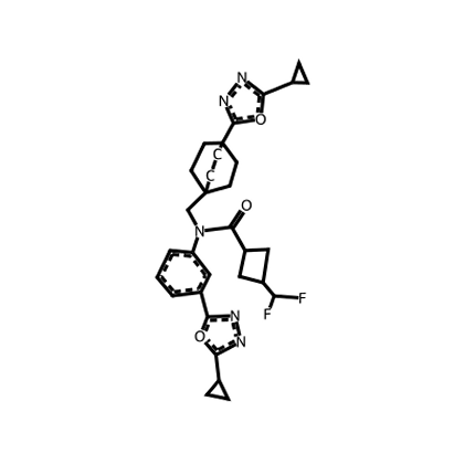 O=C(C1CC(C(F)F)C1)N(CC12CCC(c3nnc(C4CC4)o3)(CC1)CC2)c1cccc(-c2nnc(C3CC3)o2)c1